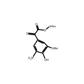 CCCCCCOC(=O)C(=O)c1cc(OC)c(O)c([N+](=O)[O-])c1